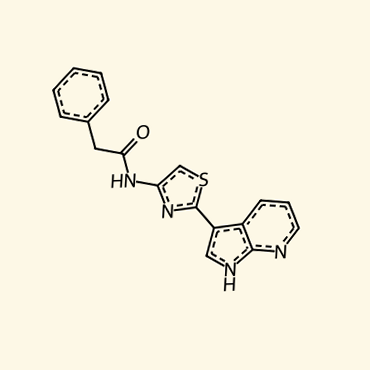 O=C(Cc1ccccc1)Nc1csc(-c2c[nH]c3ncccc23)n1